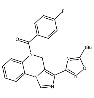 CC(C)(C)c1nc(-c2ncn3c2CN(C(=O)c2ccc(F)cc2)c2ccccc2-3)no1